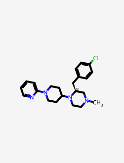 CN1CCN(C2CCN(c3ccccn3)CC2)[C@@H](Cc2ccc(Cl)cc2)C1